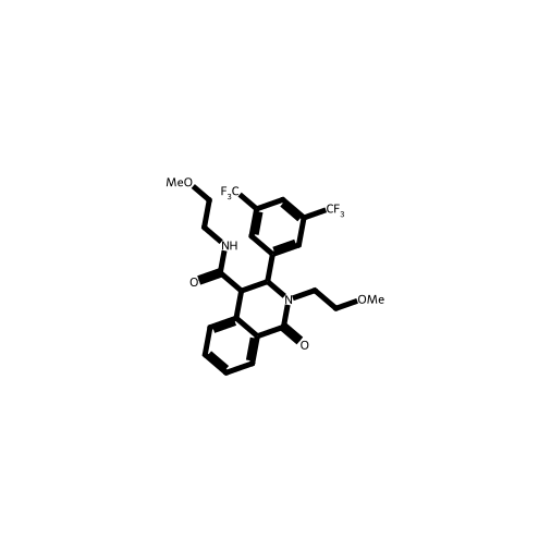 COCCNC(=O)C1c2ccccc2C(=O)N(CCOC)C1c1cc(C(F)(F)F)cc(C(F)(F)F)c1